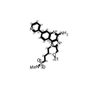 CCOCc1nc2c(N)nc3cc(-c4cccnc4)ccc3c2n1CCCCS(=O)(=O)NC